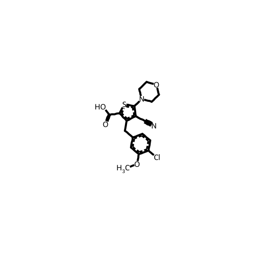 COc1cc(Cc2c(C(=O)O)sc(N3CCOCC3)c2C#N)ccc1Cl